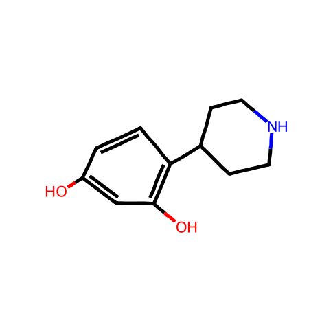 Oc1ccc(C2CCNCC2)c(O)c1